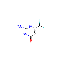 Nc1nc(C(F)F)cc(=O)[nH]1